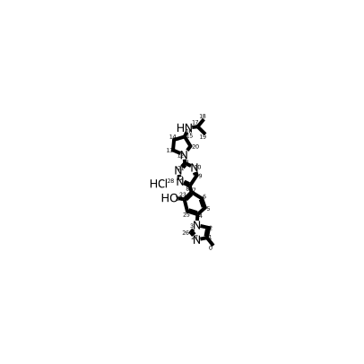 Cc1cn(-c2ccc(-c3cnc(N4CCC(NC(C)C)C4)nn3)c(O)c2)cn1.Cl